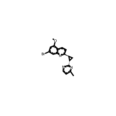 COc1cc(Br)cc2nc([C@H]3C[C@@H]3c3nccc(C)n3)ccc12